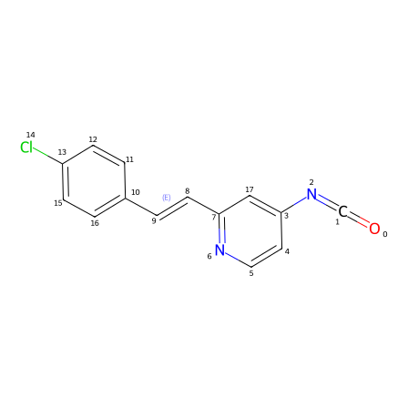 O=C=Nc1ccnc(/C=C/c2ccc(Cl)cc2)c1